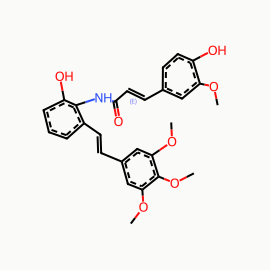 COc1cc(/C=C/C(=O)Nc2c(O)cccc2C=Cc2cc(OC)c(OC)c(OC)c2)ccc1O